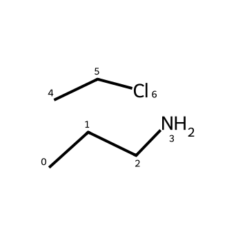 CCCN.CCCl